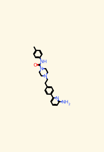 Cc1ccc(NC(=O)N2CCN(CCc3ccc(-c4cccc(N)n4)cc3)CC2)cc1